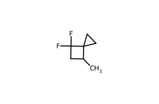 CC1CC(F)(F)C12CC2